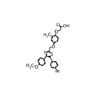 COc1ccc(-c2nc(COc3ccc(OCC(=O)O)c(C)c3)sc2-c2ccc(Br)cc2)cc1